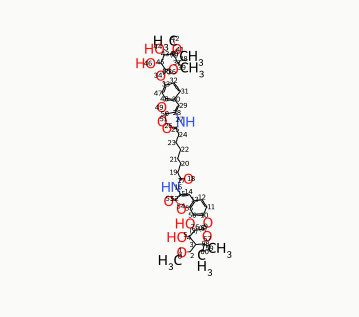 COCC1C(O)[C@H](O)[C@H](Oc2ccc3cc(NC(=O)CCCCCCC(=O)Nc4cc5ccc(O[C@@H]6OC(C)(C)[C@H](OC)C(O)C6O)cc5oc4=O)c(=O)oc3c2)OC1(C)C